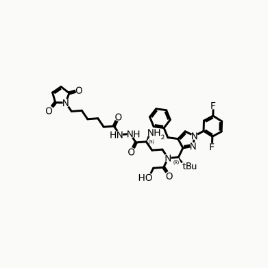 CC(C)(C)[C@H](c1nn(-c2cc(F)ccc2F)cc1Cc1ccccc1)N(CC[C@H](N)C(=O)NNC(=O)CCCCCN1C(=O)C=CC1=O)C(=O)CO